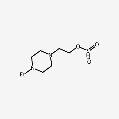 CCN1CCN(CCO[SH](=O)=O)CC1